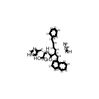 O=C(N[C@@H](Cc1c[nH]cn1)C(=O)O)C(CCCCc1ccccc1)Cc1cccc2ccccc12.[N-]=[N+]=N